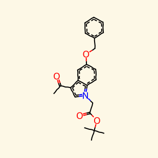 CC(=O)c1cn(CC(=O)OC(C)(C)C)c2ccc(OCc3ccccc3)cc12